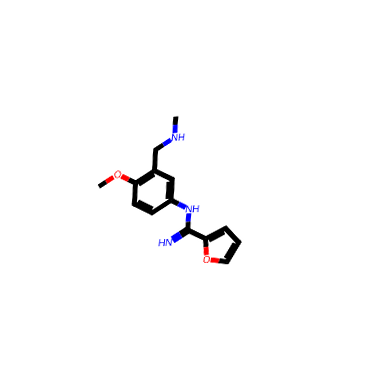 CNCc1cc(NC(=N)c2ccco2)ccc1OC